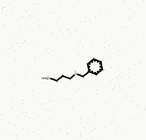 CCCCCCCCCCOCc1ccccc1